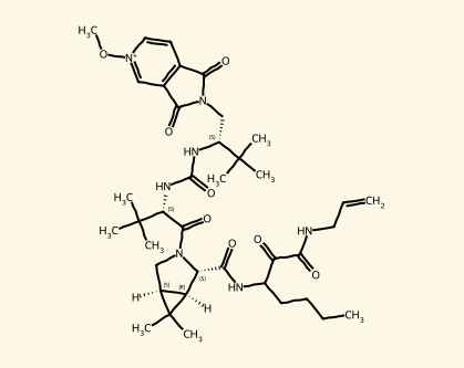 C=CCNC(=O)C(=O)C(CCCC)NC(=O)[C@@H]1[C@@H]2[C@H](CN1C(=O)[C@@H](NC(=O)N[C@H](CN1C(=O)c3cc[n+](OC)cc3C1=O)C(C)(C)C)C(C)(C)C)C2(C)C